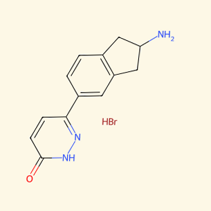 Br.NC1Cc2ccc(-c3ccc(=O)[nH]n3)cc2C1